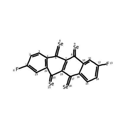 Fc1ccc2c(=[Se])c3c(=[Se])c4cc(F)ccc4c(=[Se])c=3c(=[Se])c2c1